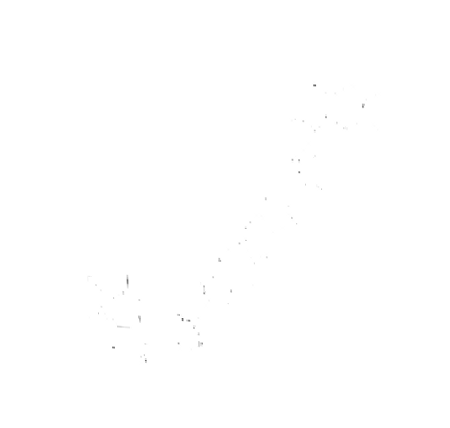 O=C(c1cnc(-c2nc3cc4cc5sc(-c6ncc(C(=O)c7c(F)c(F)c(F)c(F)c7F)o6)nc5cc4cc3s2)o1)c1c(F)c(F)c(F)c(F)c1F